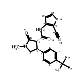 CN1C[C@H](c2ccc(C(F)(F)F)cc2)[C@@H](C(=O)Nc2ccsc2C#N)C1=O